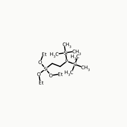 CCO[Si](CCP([Si](C)(C)C)[Si](C)(C)C)(OCC)OCC